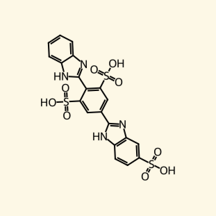 O=S(=O)(O)c1ccc2[nH]c(-c3cc(S(=O)(=O)O)c(-c4nc5ccccc5[nH]4)c(S(=O)(=O)O)c3)nc2c1